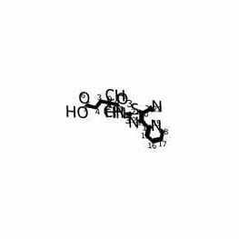 CC(C)(CCC(=O)O)C(=O)Nc1nc(-c2ccccn2)c(C#N)s1